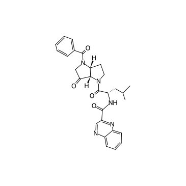 CC(C)C[C@H](NC(=O)c1cnc2ccccc2n1)C(=O)N1CC[C@@H]2[C@H]1C(=O)CN2C(=O)c1ccccc1